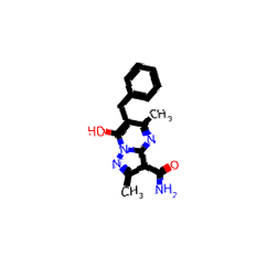 CC1=NC2C(C(N)=O)C(C)=NN2C(O)=C1Cc1ccccc1